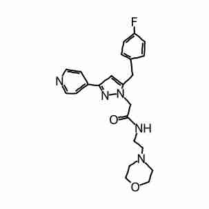 O=C(Cn1nc(-c2ccncc2)cc1Cc1ccc(F)cc1)NCCN1CCOCC1